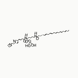 CCC=CCC=CCC=CCC=CCC=CCCCC(=O)NCCCCC(NC(=O)CC=Cc1ccc(CCN2CCCC2)nc1)C(=O)OC(CO)CO